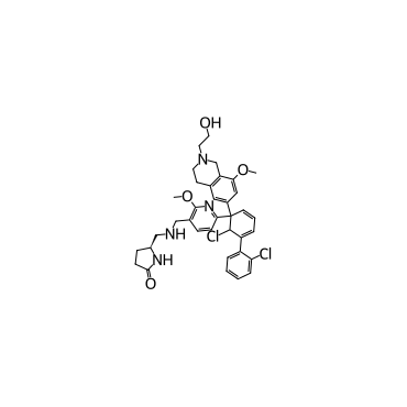 COc1cc(C2(c3ccc(CNC[C@@H]4CCC(=O)N4)c(OC)n3)C=CC=C(c3ccccc3Cl)C2Cl)cc2c1CN(CCO)CC2